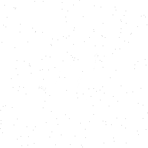 COC1CCCc2cc(O)ccc21